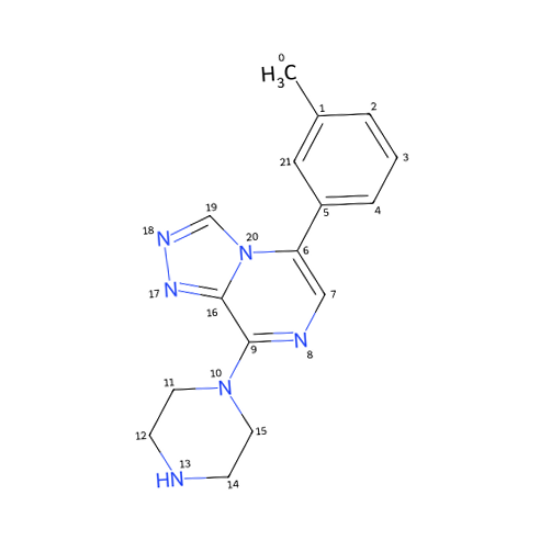 Cc1cccc(-c2cnc(N3CCNCC3)c3nncn23)c1